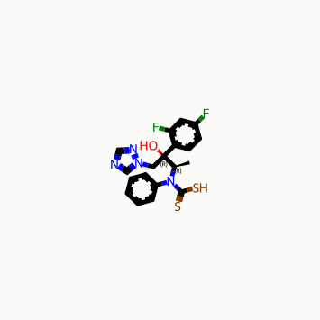 C[C@@H](N(C(=S)S)c1ccccc1)[C@](O)(Cn1cncn1)c1ccc(F)cc1F